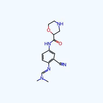 CN(C)C=Nc1ccc(NC(=O)C2CNCCO2)cc1C#N